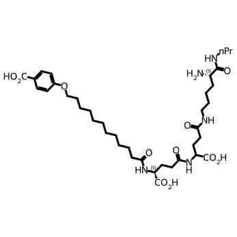 CCCNC(=O)[C@@H](N)CCCCNC(=O)CCC(NC(=O)CC[C@H](NC(=O)CCCCCCCCCCCOc1ccc(C(=O)O)cc1)C(=O)O)C(=O)O